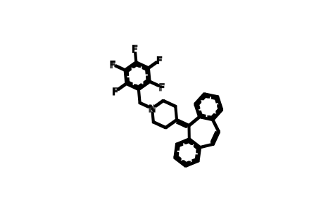 Fc1c(F)c(F)c(CN2CCC(=C3c4ccccc4C=Cc4ccccc43)CC2)c(F)c1F